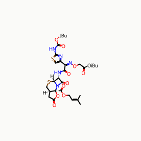 CC(C)=CCOC(=O)[C@]12OC(=O)C[C@H]1CS[C@@H]1[C@H](NC(=O)/C(=N\OCC(=O)OCC(C)C)c3csc(NC(=O)OC(C)(C)C)n3)C(=O)N12